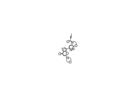 CC#CC(=O)N1CCOc2nnc(-c3csc4c(=O)cc(N5CCOCC5)oc34)cc21